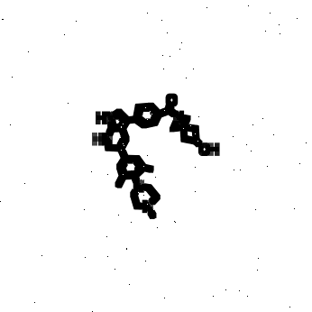 Cc1cc(C2=Cc3c(-c4ccc(C(=O)N5CC6(CC(O)C6)C5)cc4)c[nH]c3NC2)cc(C)c1N1CCN(C)CC1